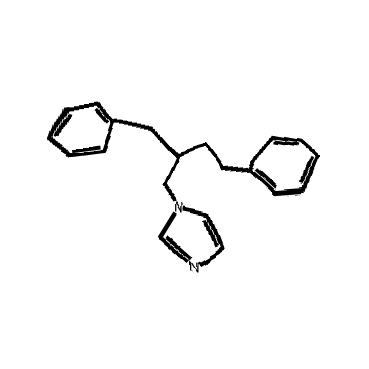 c1ccc(CCC(Cc2ccccc2)Cn2ccnc2)cc1